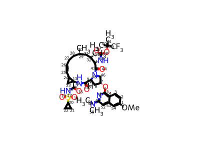 COc1ccc2c(O[C@@H]3C[C@H]4C(=O)N[C@]5(C(=O)NS(=O)(=O)C6CC6)CC5/C=C\CC[C@H](C)C[C@@H](C)[C@H](NC(=O)OC(C)(C)C(F)(F)F)C(=O)N4C3)nc(N(C)C)cc2c1